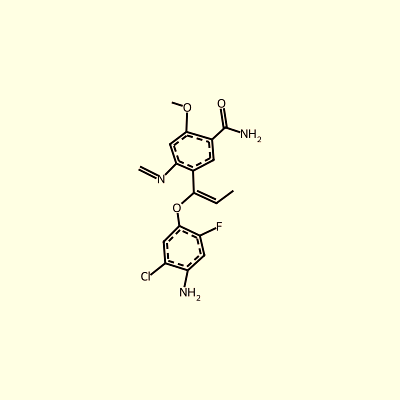 C=Nc1cc(OC)c(C(N)=O)cc1/C(=C\C)Oc1cc(Cl)c(N)cc1F